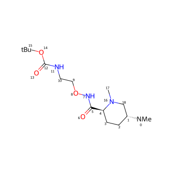 CN[C@@H]1CC[C@@H](C(=O)NOCCNC(=O)OC(C)(C)C)N(C)C1